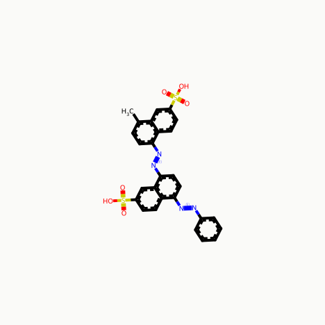 Cc1ccc(/N=N/c2ccc(/N=N/c3ccccc3)c3ccc(S(=O)(=O)O)cc23)c2ccc(S(=O)(=O)O)cc12